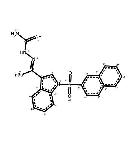 CCCC/C(=N\NC(=N)N)c1cn(S(=O)(=O)c2ccc3ccccc3c2)c2ccccc12